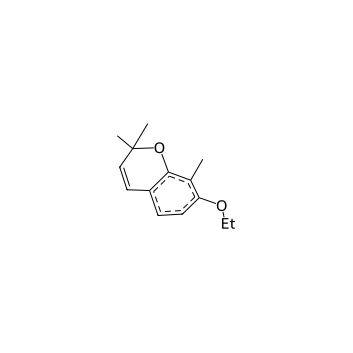 CCOc1ccc2c(c1C)OC(C)(C)C=C2